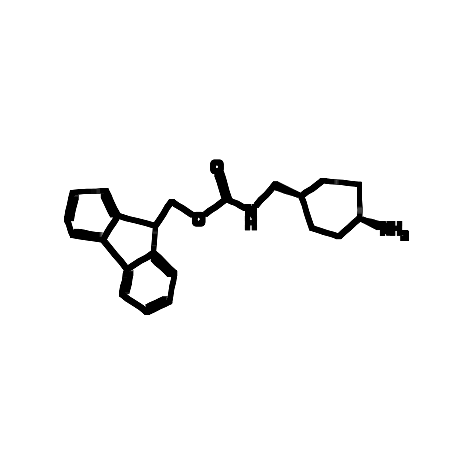 N[C@H]1CC[C@@H](CNC(=O)OCC2c3ccccc3-c3ccccc32)CC1